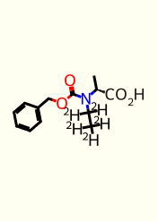 [2H]C([2H])([2H])C([2H])([2H])N(C(=O)OCc1ccccc1)[C@@H](C)C(=O)O